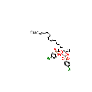 CC[C@@H](OC(C)S(=O)(=O)c1ccc(Br)cc1)[C@H](/C=C/C=C/C=C\C/C=C\C/C=C\CCCC=O)OC(C)S(=O)(=O)c1ccc(Br)cc1